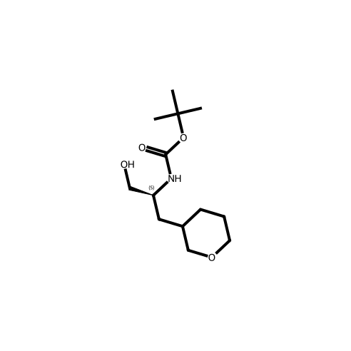 CC(C)(C)OC(=O)N[C@H](CO)CC1CCCOC1